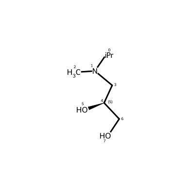 CC(C)N(C)C[C@H](O)CO